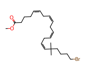 COC(=O)CCC/C=C\C/C=C\C/C=C\C/C=C\C(C)(C)CCCCBr